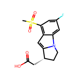 CS(=O)(=O)c1cc(F)cc2c1cc1n2CC[C@@H]1CC(=O)O